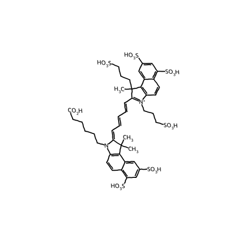 CC1(CCCS(=O)(=O)O)C(/C=C/C=C/C=C2/N(CCCCCC(=O)O)c3ccc4c(S(=O)(=O)O)cc(S(=O)(=O)O)cc4c3C2(C)C)=[N+](CCCS(=O)(=O)O)c2ccc3c(S(=O)(=O)O)cc(S(=O)(=O)O)cc3c21